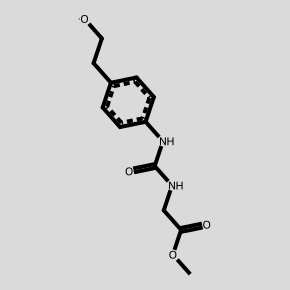 COC(=O)CNC(=O)Nc1ccc(CC[O])cc1